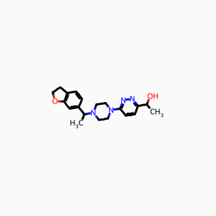 CC(O)c1ccc(N2CCN(C(C)c3ccc4c(c3)OCC4)CC2)nn1